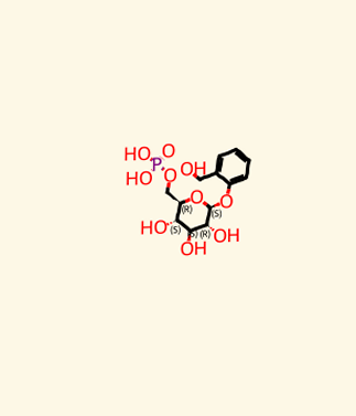 O=P(O)(O)OC[C@H]1O[C@@H](Oc2ccccc2CO)[C@H](O)[C@@H](O)[C@@H]1O